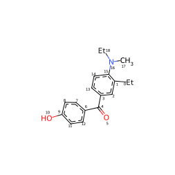 CCc1cc(C(=O)c2ccc(O)cc2)ccc1N(C)CC